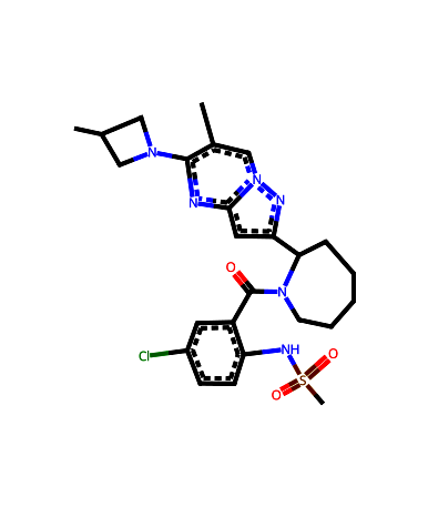 Cc1cn2nc(C3CCCCCN3C(=O)c3cc(Cl)ccc3NS(C)(=O)=O)cc2nc1N1CC(C)C1